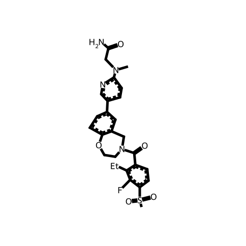 CCc1c(C(=O)N2CCOc3ccc(-c4ccc(N(C)CC(N)=O)nc4)cc3C2)ccc(S(C)(=O)=O)c1F